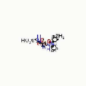 CC1CCC(N(C(=O)Nc2ncc(S(=O)(=O)NCCC(=O)O)s2)C2CCCCC2)CC1